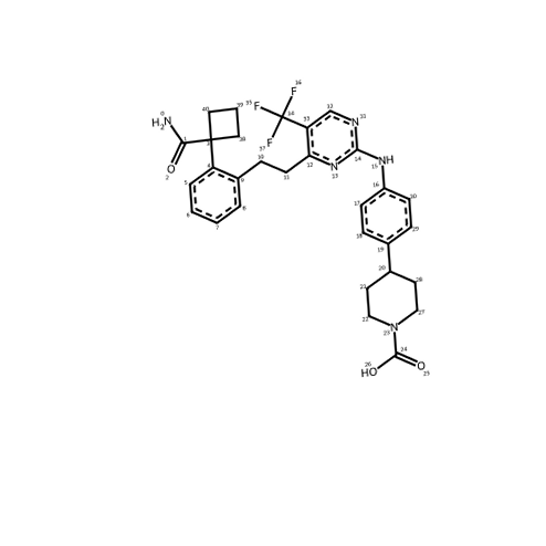 NC(=O)C1(c2ccccc2CCc2nc(Nc3ccc(C4CCN(C(=O)O)CC4)cc3)ncc2C(F)(F)F)CCC1